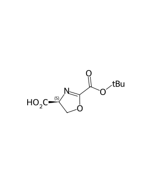 CC(C)(C)OC(=O)C1=N[C@H](C(=O)O)CO1